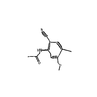 COc1cc(NC(C)=O)c(C#N)cc1C